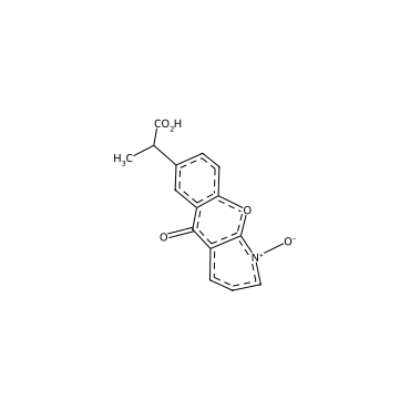 CC(C(=O)O)c1ccc2oc3c(ccc[n+]3[O-])c(=O)c2c1